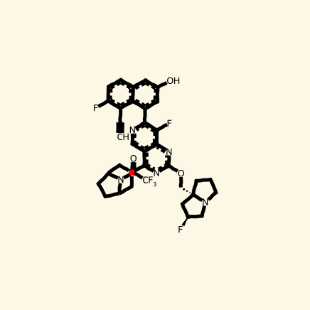 C#Cc1c(F)ccc2cc(O)cc(-c3ncc4c(N5CC6CCC(C5)N6C(=O)C(F)(F)F)nc(OC[C@]56CCCN5C[C@@H](F)C6)nc4c3F)c12